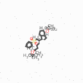 CC(C)(CCC[C@@H](CS(=O)(=O)c1ccccc1)[C@H]1CC[C@H]2[C@@H](O[Si](C)(C)C(C)(C)C)CCC[C@]12C)O[Si](C)(C)C